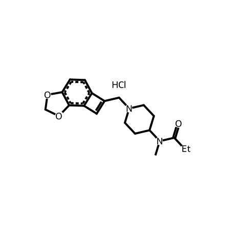 CCC(=O)N(C)C1CCN(CC2=Cc3c2ccc2c3OCO2)CC1.Cl